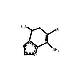 CC(C)C1=C(N)c2occc2C(C)C1